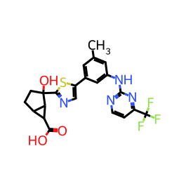 Cc1cc(Nc2nccc(C(F)(F)F)n2)cc(-c2cnc(C3(O)CCC4C(C(=O)O)C43)s2)c1